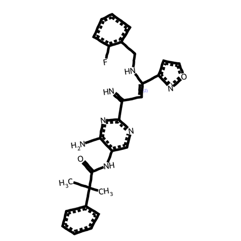 CC(C)(C(=O)Nc1cnc(C(=N)/C=C(\NCc2ccccc2F)c2ccon2)nc1N)c1ccccc1